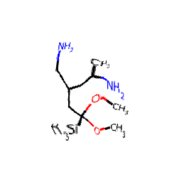 COC([SiH3])(CC(CN)C(C)N)OC